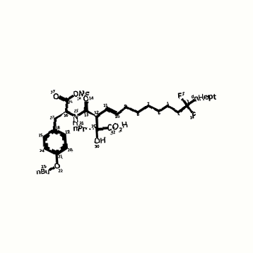 CCCCCCCC(F)(F)CCCCCC/C=C/[C@H](C(=O)N[C@@H](Cc1ccc(OCCCC)cc1)C(=O)OC)[C@@](O)(CCC)C(=O)O